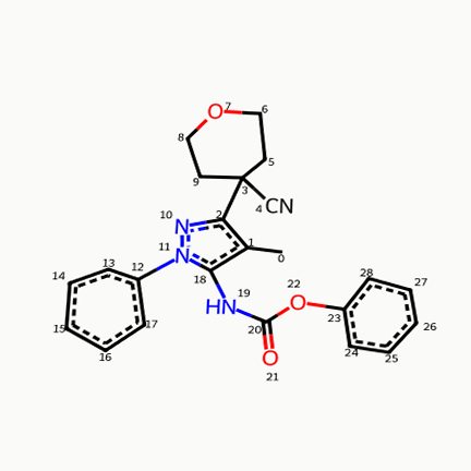 Cc1c(C2(C#N)CCOCC2)nn(-c2ccccc2)c1NC(=O)Oc1ccccc1